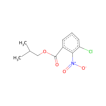 CC(C)COC(=O)c1cccc(Cl)c1[N+](=O)[O-]